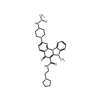 Cn1c2ccccc2n2c3nc(N4CCC(N[S+](C)[O-])CC4)ccc3c(=O)c(C(=O)NCCN3CCCC3)c12